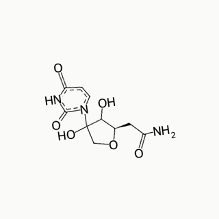 NC(=O)C[C@H]1OCC(O)(n2ccc(=O)[nH]c2=O)C1O